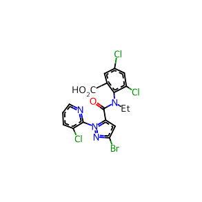 CCN(C(=O)c1cc(Br)nn1-c1ncccc1Cl)c1c(Cl)cc(Cl)cc1C(=O)O